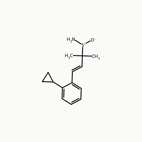 CC(C)(C=Cc1ccccc1C1CC1)[S+](N)[O-]